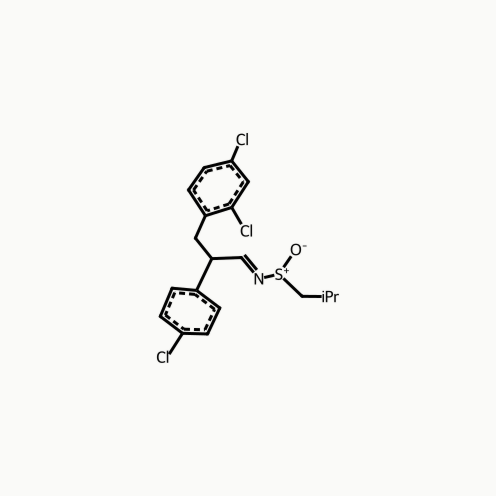 CC(C)C[S+]([O-])/N=C/C(Cc1ccc(Cl)cc1Cl)c1ccc(Cl)cc1